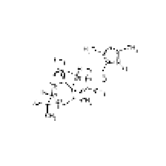 CCn1c(C)cc(C)c1C(=O)O[C@H]1C(C)=CC23C(=O)[C@@H](C=C(C)C[C@H]12)[C@@H]1[C@@H](CC3C)C1(C)C